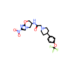 O=C(CN1CCC(c2ccc(OC(F)(F)F)cc2)CC1)NC1COc2nc([N+](=O)[O-])cn2C1